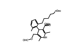 CCCCCCCCCCCCCCCc1cccc(C)c1C1C(COC=O)=C(C)NC(C)=C1C(=O)OC